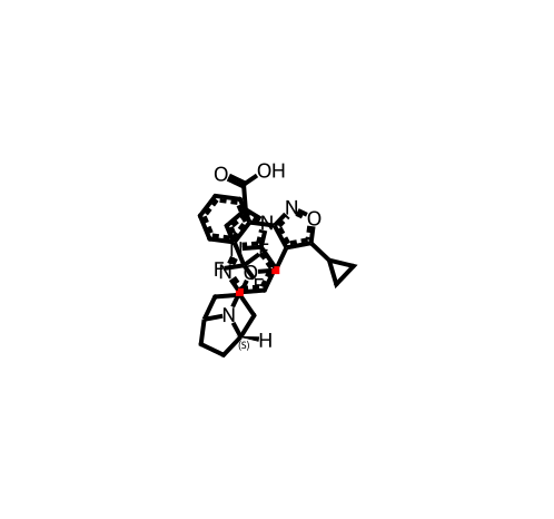 O=C(O)c1cn2nc(N3C4CC[C@H]3CC(OCc3c(-c5ccccc5C(F)(F)F)noc3C3CC3)C4)ccc2n1